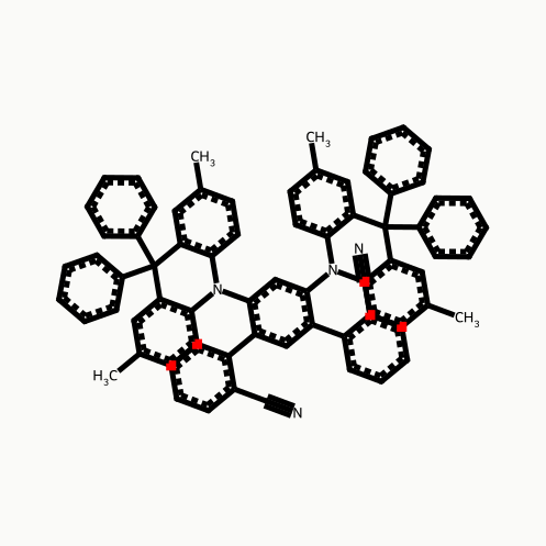 Cc1ccc2c(c1)C(c1ccccc1)(c1ccccc1)c1cc(C)ccc1N2c1cc(N2c3ccc(C)cc3C(c3ccccc3)(c3ccccc3)c3cc(C)ccc32)c(-c2ccccc2C#N)cc1-c1ccccc1C#N